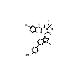 CC(=O)c1nn(CC(=O)N2[C@H](C(=O)Nc3nc(Br)ccc3C)C[C@]3(C)C[C@@H]23)c2ccc(-c3cnc(C(=O)O)nc3)cc12